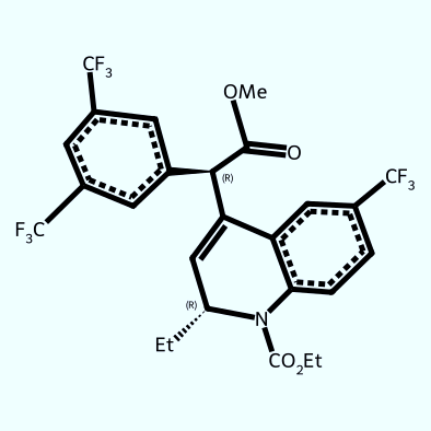 CCOC(=O)N1c2ccc(C(F)(F)F)cc2C([C@H](C(=O)OC)c2cc(C(F)(F)F)cc(C(F)(F)F)c2)=C[C@H]1CC